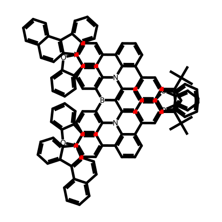 CC(C)(C)c1cc(-c2cc3c4c(c2)N(c2c(-c5ccc6oc7ccccc7c6c5)cccc2-c2ccc5oc6ccccc6c5c2)c2cc(-n5c6ccccc6c6c7ccccc7ccc65)ccc2B4c2ccc(-n4c5ccccc5c5c6ccccc6ccc54)cc2N3c2c(-c3ccc4oc5ccccc5c4c3)cccc2-c2ccc3oc4ccccc4c3c2)cc(C(C)(C)C)c1